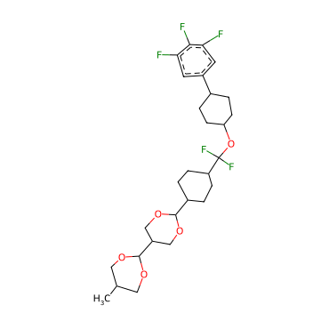 CC1COC(C2COC(C3CCC(C(F)(F)OC4CCC(c5cc(F)c(F)c(F)c5)CC4)CC3)OC2)OC1